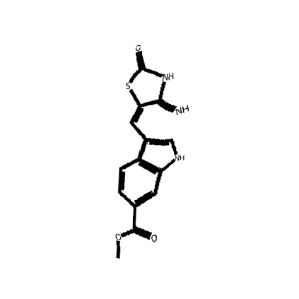 COC(=O)c1ccc2c(/C=C3/SC(=O)NC3=N)c[nH]c2c1